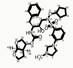 CN1CCN(c2cccc(S(=O)(=O)N(C[C@@H](O)[C@H](Cc3ccccc3)NC(=O)O[C@@H]3CO[C@@H]4OCC[C@@H]43)OC3CCCC3)c2)C1